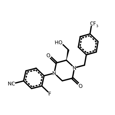 N#Cc1ccc(N2CC(=O)N(Cc3ccc(C(F)(F)F)cc3)[C@H](CO)C2=O)c(F)c1